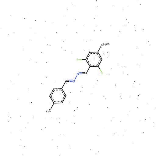 CCCCCc1cc(F)c(C=NN=Cc2ccc(C(F)(F)F)cc2)c(F)c1